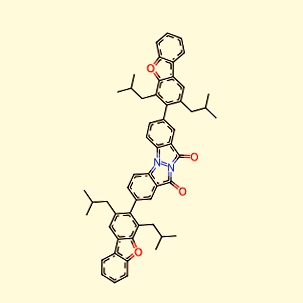 CC(C)Cc1cc2c(oc3ccccc32)c(CC(C)C)c1-c1ccc2c(c1)c(=O)n1c(=O)c3cc(-c4c(CC(C)C)cc5c(oc6ccccc65)c4CC(C)C)ccc3n21